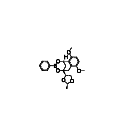 COc1ccc(OC)c2c1CC1([C@H]3CO[C@@H](C)O3)C[C@H]2OB(c2ccccc2)O1